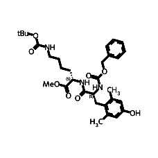 COC(=O)[C@H](CCCCNC(=O)OC(C)(C)C)NC(=O)[C@H](Cc1c(C)cc(O)cc1C)NC(=O)OCc1ccccc1